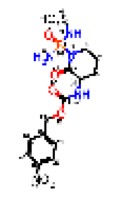 N[P@](=O)(NS(=O)(=O)O)N1CCC[C@@H](NC(=O)OCc2ccc([N+](=O)[O-])cc2)C1=O